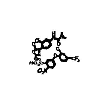 CN(C)C(=O)Nc1ccc(-n2nc(C(C)(C)C)oc2=O)c(Cl)c1.O=C(O)c1cc(Oc2ccc(C(F)(F)F)cc2Cl)ccc1[N+](=O)[O-]